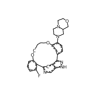 Fc1cccc2c1-c1cc3c(n[nH]c3cn1)-c1ccc(N3CCN4CCOCC4C3)c(c1)OCCCO2